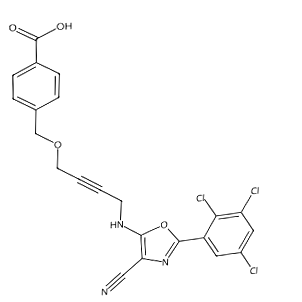 N#Cc1nc(-c2cc(Cl)cc(Cl)c2Cl)oc1NCC#CCOCc1ccc(C(=O)O)cc1